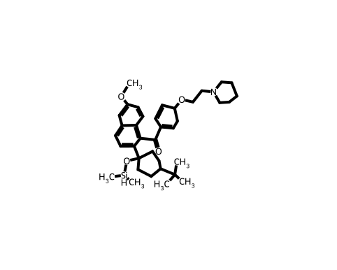 COc1ccc2c(C(=O)C3=CCC(OCCN4CCCCC4)C=C3)c(C3(O[SiH](C)C)CCC(C(C)(C)C)CC3)ccc2c1